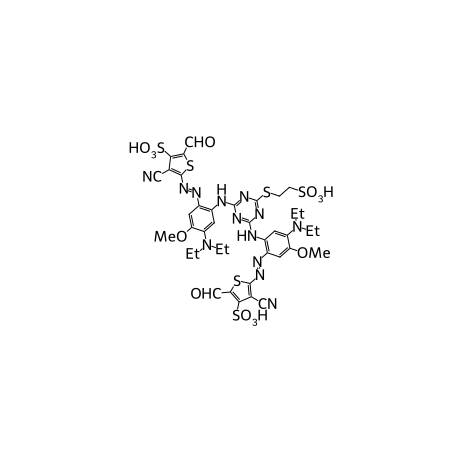 CCN(CC)c1cc(Nc2nc(Nc3cc(N(CC)CC)c(OC)cc3/N=N/c3sc(C=O)c(S(=O)(=O)O)c3C#N)nc(SCCS(=O)(=O)O)n2)c(/N=N/c2sc(C=O)c(S(=O)(=O)O)c2C#N)cc1OC